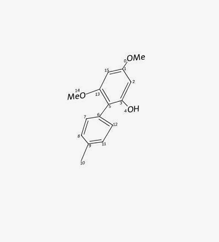 COc1cc(O)c(-c2ccc(C)cc2)c(OC)c1